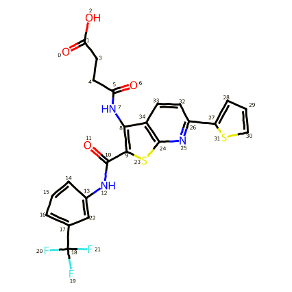 O=C(O)CCC(=O)Nc1c(C(=O)Nc2cccc(C(F)(F)F)c2)sc2nc(-c3cccs3)ccc12